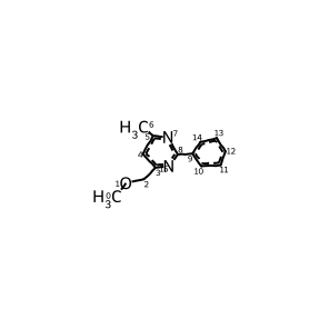 COCc1cc(C)nc(-c2ccccc2)n1